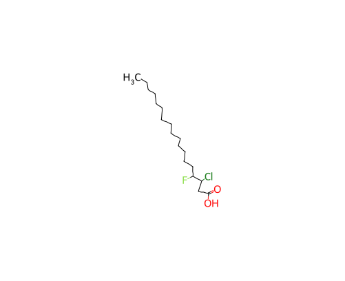 CCCCCCCCCCCCCCC(F)C(Cl)CC(=O)O